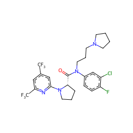 O=C([C@@H]1CCCN1c1cc(C(F)(F)F)cc(C(F)(F)F)n1)N(CCCN1CCCC1)c1ccc(F)c(Cl)c1